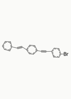 Brc1ccc(C#Cc2ccc(C#Cc3ccccc3)cc2)cc1